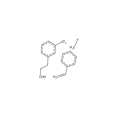 C=Cc1ccccc1.CF.O=CCCc1cccc(C(F)(F)F)c1